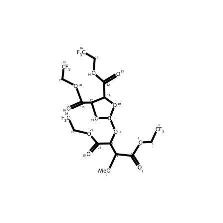 COC(C(=O)OCC(F)(F)F)C(OB1OC(C(=O)OCC(F)(F)F)C(C(=O)OCC(F)(F)F)O1)C(=O)OCC(F)(F)F